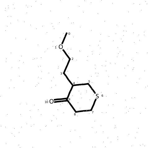 COCCC1CSCCC1=O